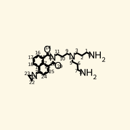 NCCCN(CCCN)CCCN1C(=O)c2cccc3c(N4CC4)ccc(c23)C1=O